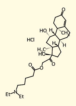 CCN(CC)CCCCC(=O)OCC(=O)[C@@]1(O)CC[C@H]2[C@@H]3CCC4=CC(=O)CC[C@]4(C)[C@H]3[C@@H](O)C[C@@]21C.Cl